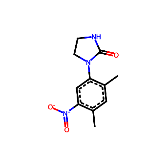 Cc1cc(C)c([N+](=O)[O-])cc1N1CCNC1=O